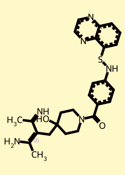 CC(=N)/C(CC1(O)CCN(C(=O)c2ccc(NSc3cccc4nccnc34)cc2)CC1)=C(/C)N